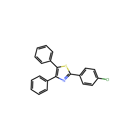 Clc1ccc(-c2nc(-c3ccccc3)c(-c3ccccc3)s2)cc1